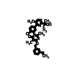 COc1cccc(COc2nc(C)n(-c3cc(-c4nc(C(C)(C)O)ncc4C)ccc3Cl)c(=O)c2C)c1